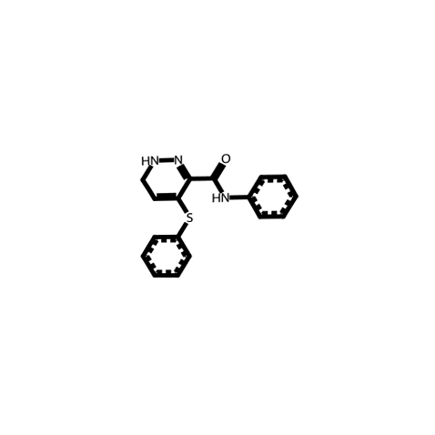 O=C(Nc1ccccc1)C1=NNCC=C1Sc1ccccc1